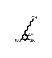 CC(C)(C)c1cc(CCCCCCO)c(O)c(C(C)(C)C)c1